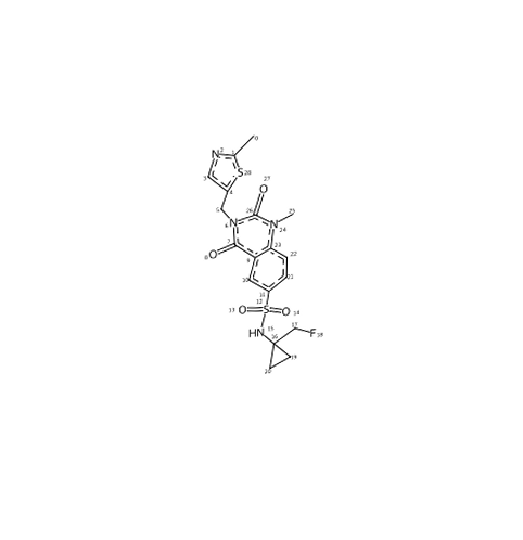 Cc1ncc(Cn2c(=O)c3cc(S(=O)(=O)NC4(CF)CC4)ccc3n(C)c2=O)s1